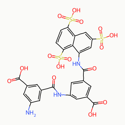 Nc1cc(C(=O)O)cc(C(=O)Nc2cc(C(=O)O)cc(C(=O)Nc3cc(S(=O)(=O)O)cc4c(S(=O)(=O)O)ccc(S(=O)(=O)O)c34)c2)c1